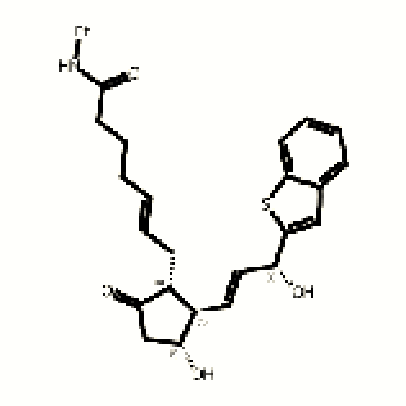 CCNC(=O)CCCC=CC[C@H]1C(=O)C[C@@H](O)[C@@H]1C=C[C@@H](O)c1cc2ccccc2s1